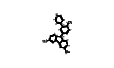 CC(C)(C)c1ccc2c(c1)c1cc(C(C)(C)C)ccc1n2-c1ccc(C#N)c(-c2ccncc2)c1